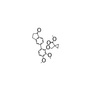 COC(=O)C1(COc2c(-c3ccc4c(c3)CCC4=O)ccc(OC)c2OC)CC1